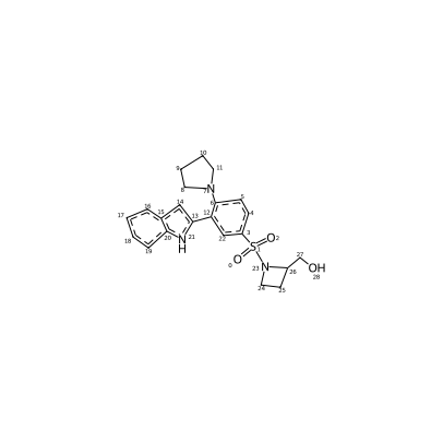 O=S(=O)(c1ccc(N2CCCC2)c(-c2cc3ccccc3[nH]2)c1)N1CCC1CO